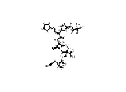 C#CCn1nnnc1SCC1(C(=O)O)CS[C@@H]2C(NC(=O)C(=NOC3CCCC3)c3csc(NC(=O)C(F)(F)F)n3)C(=O)N2C1